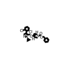 O=C(OCc1ccccc1)N1C[C@@H]2C[C@H]1C[C@H]2OCc1c(-c2c(Cl)cccc2Cl)cnn1C1CC1